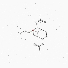 CCCCN1C2CCC(OC(C)=O)C1CCC2OC(C)=O